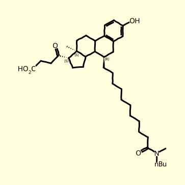 CCCCN(C)C(=O)CCCCCCCCCC[C@@H]1Cc2cc(O)ccc2C2CC[C@@]3(C)C(CC[C@@H]3C(=O)CCC(=O)O)C21